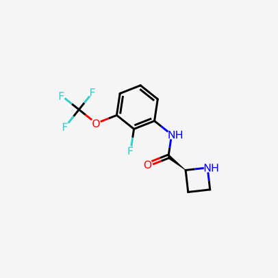 O=C(Nc1cccc(OC(F)(F)F)c1F)[C@@H]1CCN1